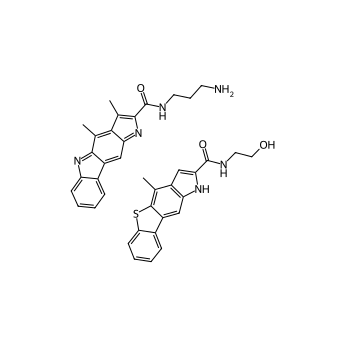 CC1=C(C(=O)NCCCN)N=c2cc3c(c(C)c21)=Nc1ccccc1-3.Cc1c2cc(C(=O)NCCO)[nH]c2cc2c1sc1ccccc12